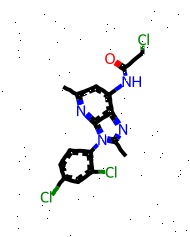 Cc1cc(NC(=O)CCl)c2nc(C)n(-c3ccc(Cl)cc3Cl)c2n1